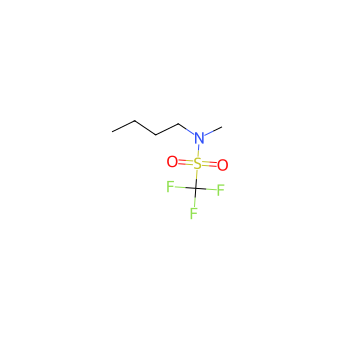 CCCCN(C)S(=O)(=O)C(F)(F)F